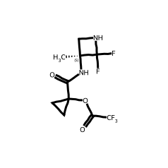 C[C@]1(NC(=O)C2(OC(=O)C(F)(F)F)CC2)CNC1(F)F